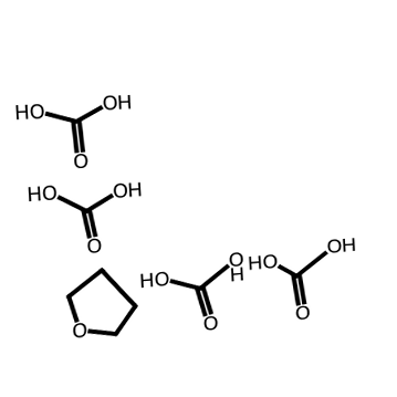 C1CCOC1.O=C(O)O.O=C(O)O.O=C(O)O.O=C(O)O